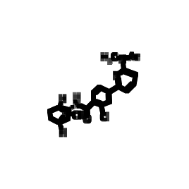 CC(=O)N(C)c1cccc(-c2ccc(C(=O)N[C@@H]3C[C@@H]4CC[C@H]3N4C#N)c(Cl)c2)n1